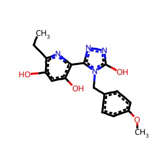 CCc1nc(-c2nnc(O)n2Cc2ccc(OC)cc2)c(O)cc1O